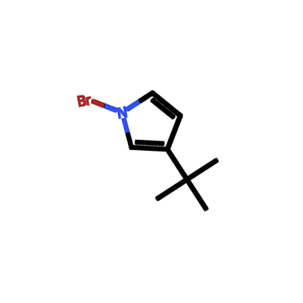 CC(C)(C)c1ccn(Br)c1